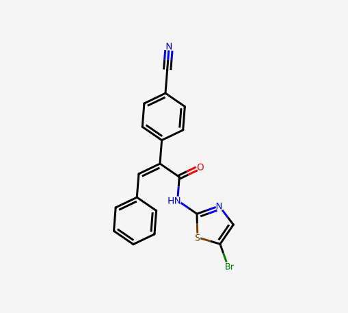 N#Cc1ccc(C(=Cc2ccccc2)C(=O)Nc2ncc(Br)s2)cc1